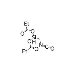 CCC(=O)O[SiH](CN=C=O)OC(=O)CC